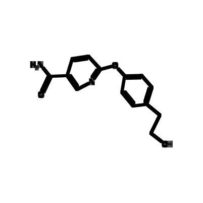 NC(=O)c1ccc(Oc2ccc(CCO)cc2)nc1